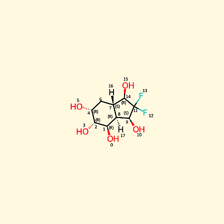 O[C@H]1[C@H](O)[C@H](O)C[C@H]2[C@H]1[C@H](O)C(F)(F)[C@@H]2O